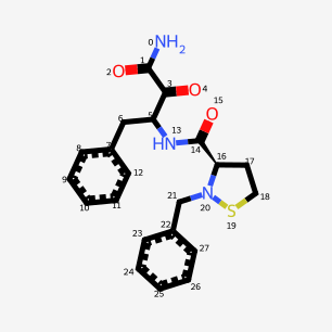 NC(=O)C(=O)C(Cc1ccccc1)NC(=O)[C@H]1CCSN1Cc1ccccc1